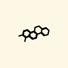 Cc1ccc2c3c(ccc2c1C)C1=CCCC=C1CC3